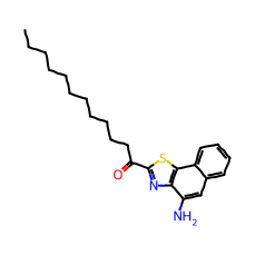 CCCCCCCCCCCC(=O)c1nc2c(N)cc3ccccc3c2s1